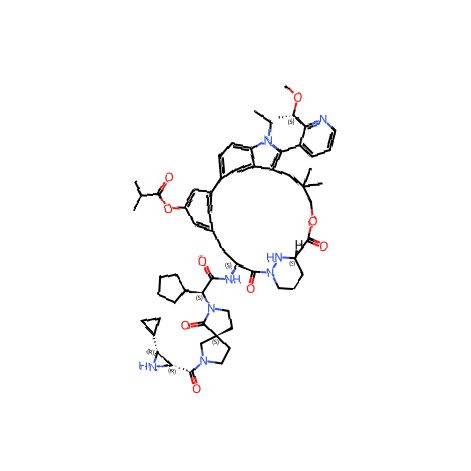 CCn1c(-c2cccnc2[C@H](C)OC)c2c3cc(ccc31)-c1cc(cc(OC(=O)C(C)C)c1)C[C@H](NC(=O)[C@H](C1CCCC1)N1CC[C@]3(CCN(C(=O)[C@@H]4N[C@@H]4C4CC4)C3)C1=O)C(=O)N1CCC[C@H](N1)C(=O)OCC(C)(C)C2